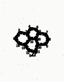 [Zr].c1cc2ccc3cccc4ccc(c1)c2c34